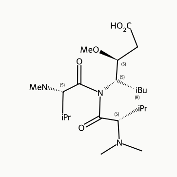 CC[C@@H](C)[C@@H]([C@H](CC(=O)O)OC)N(C(=O)[C@@H](NC)C(C)C)C(=O)[C@H](C(C)C)N(C)C